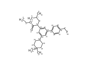 CCOC(=O)C(CC(C)C)c1cc(-c2ccc(CF)cc2)cc(C2CC[N+](C)(C)CC2)c1